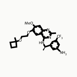 COc1cc2nc(C)nc(N[C@H](C)c3cc(N)cc(C(F)(F)F)c3)c2cc1OCCOC1(C)CCC1